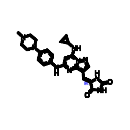 CN1CCN(c2ccc(Nc3cc(NC4CC4)n4ncc(/C=C5\NC(=O)NC5=O)c4n3)cc2)CC1